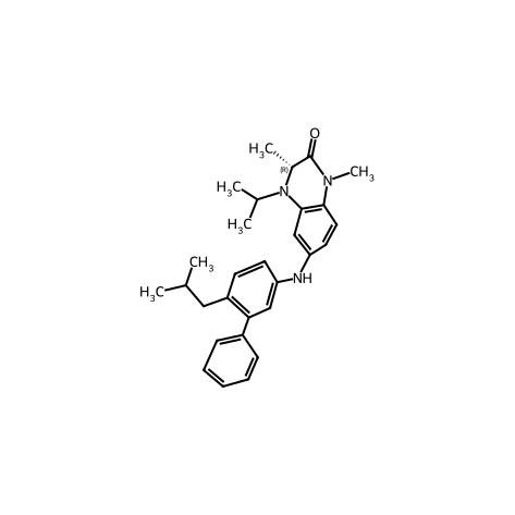 CC(C)Cc1ccc(Nc2ccc3c(c2)N(C(C)C)[C@H](C)C(=O)N3C)cc1-c1ccccc1